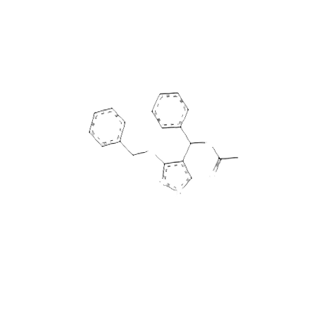 CC(=O)OC(c1ccccc1)c1c[nH]nc1OCc1ccccc1